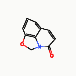 O=c1ccc2cccc3c2n1CO3